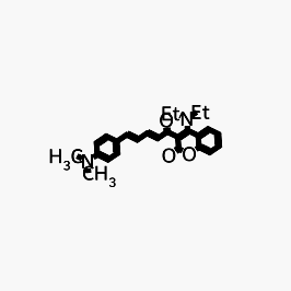 CCN(CC)c1c(C(=O)C=CC=Cc2ccc(N(C)C)cc2)c(=O)oc2ccccc12